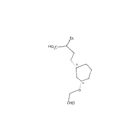 CCC(CC[C@@H]1CCC[C@H](OCC=O)C1)C(=O)O